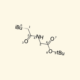 CC[C@@H](C)CC(=O)NCC(=O)OC(C)(C)C